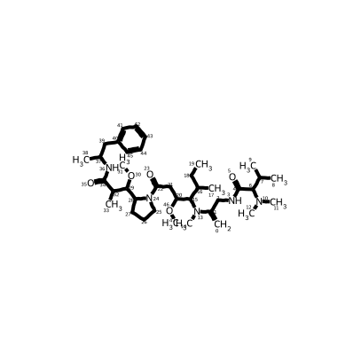 C=C(CNC(=O)C(C(C)C)N(C)C)N(C)C(C(C)CC)C(CC(=O)N1CCCC1C(OC)C(C)C(=O)NC(C)Cc1ccccc1)OC